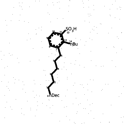 CCCCCCCCCCCCCCCCc1cccc(S(=O)(=O)O)c1CCCC